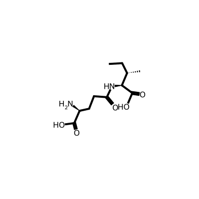 CC[C@H](C)[C@H](NC(=O)CC[C@H](N)C(=O)O)C(=O)O